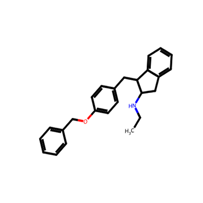 CCNC1Cc2ccccc2C1Cc1ccc(OCc2ccccc2)cc1